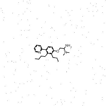 CCCCc1c(-c2ccc[c]n2)ccc(OCC(N)N(C)C)c1CCC